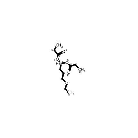 CCOCCC[SiH](OC(=O)CC)OC(=O)CC